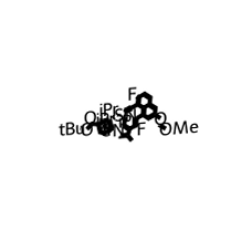 COCOc1cc(-c2ncc3c(c(C)cn3C3=CC4CCC3CN4C(=O)OC(C)(C)C)c2F)c2c(C#C[Si](C(C)C)(C(C)C)C(C)C)c(F)ccc2c1